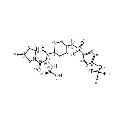 C[C@@H](C1CCC(NS(=O)(=O)c2ccc(OC(F)(F)F)cc2)CC1)[C@H](NC(=O)O)C(=O)N1CC[C@H](F)C1